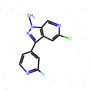 Cn1nc(-c2ccnc(F)c2)c2cc(Cl)ncc21